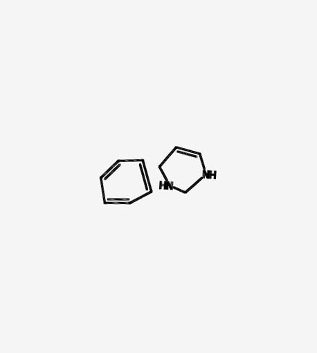 C1=CNCNC1.c1ccccc1